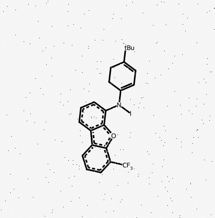 CC(C)(C)C1=CC=C(N(I)c2cccc3c2oc2c(C(F)(F)F)cccc23)CC1